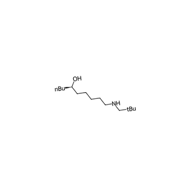 CCCC[C@@H](O)CCCCCNCC(C)(C)C